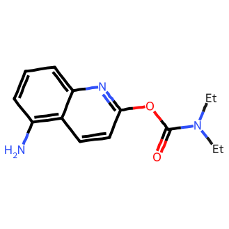 CCN(CC)C(=O)Oc1ccc2c(N)cccc2n1